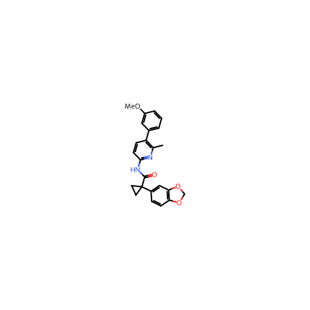 COc1cccc(-c2ccc(NC(=O)C3(c4ccc5c(c4)OCO5)CC3)nc2C)c1